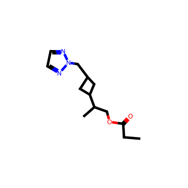 CCC(=O)OCC(C)C1CC(Cn2nccn2)C1